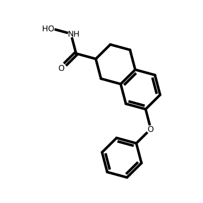 O=C(NO)C1CCc2ccc(Oc3ccccc3)cc2C1